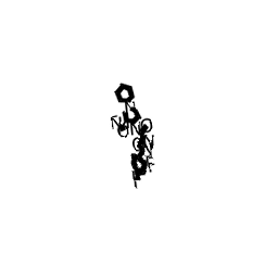 CN(C)C(=O)[C@H]1CN(C2CCCCC2)CC[C@@H]1NC(=O)c1nnc(-c2ccc(F)cc2F)o1